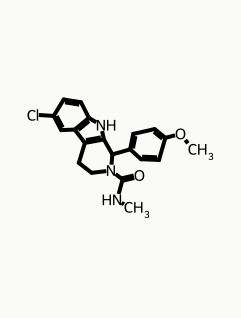 CNC(=O)N1CCc2c([nH]c3ccc(Cl)cc23)C1c1ccc(OC)cc1